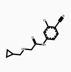 N#Cc1ccc(NC(=O)CNCC2CC2)cc1Cl